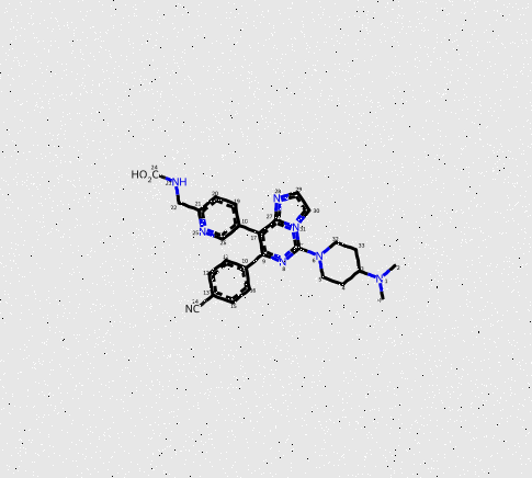 CN(C)C1CCN(c2nc(-c3ccc(C#N)cc3)c(-c3ccc(CNC(=O)O)nc3)c3nccn23)CC1